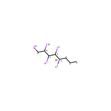 CCC[C@@H](I)C(I)C(I)C(I)CI